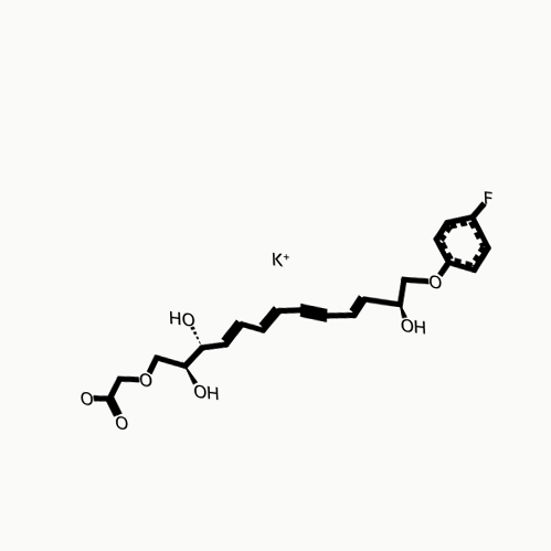 O=C([O-])COC[C@H](O)[C@H](O)C=CC=CC#CC=C[C@H](O)COc1ccc(F)cc1.[K+]